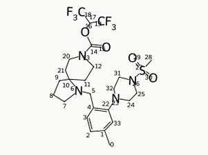 Cc1ccc(CN2CCCC23CCN(C(=O)OC(C(F)(F)F)C(F)(F)F)CC3)c(N2CCN(S(C)(=O)=O)CC2)c1